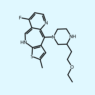 CCOCCC1CN(C2=c3nccc(F)c3=CNc3sc(C)cc32)CCN1